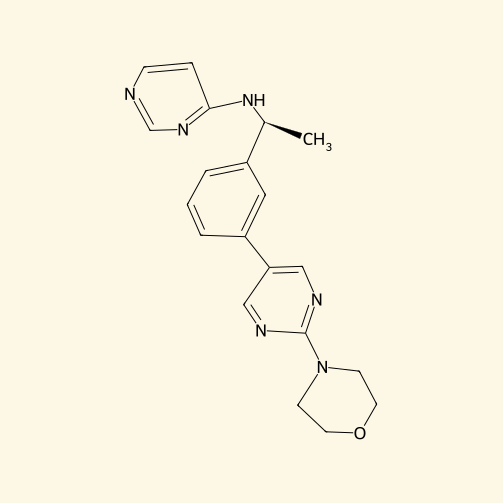 C[C@H](Nc1ccncn1)c1cccc(-c2cnc(N3CCOCC3)nc2)c1